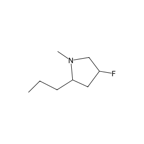 CCCC1CC(F)CN1C